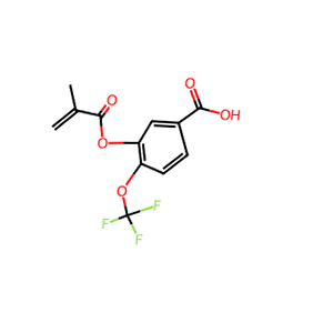 C=C(C)C(=O)Oc1cc(C(=O)O)ccc1OC(F)(F)F